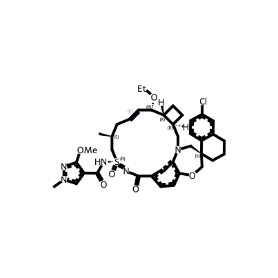 CCO[C@H]1/C=C/C[C@H](C)C[S@@](=O)(NC(=O)c2cn(C)nc2OC)=NC(=O)c2ccc3c(c2)N(C[C@@H]2CC[C@H]21)C[C@@]1(CCCc2cc(Cl)ccc21)CO3